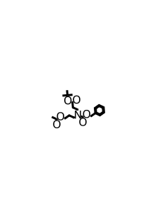 CC(=O)OCCCN(CCC(=O)OC(C)(C)C)C(=O)OCc1ccccc1